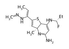 C=NN/C(=C\C)C1=C[C@]2(C)N=C(N)C=C(N[C@@H](F)CC)C2S1